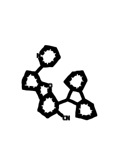 N#Cc1ccc2c(oc3c(-c4ccccn4)cccc32)c1C1c2ccccc2-c2ccccc21